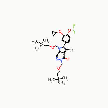 CCc1c(-c2ccc(OC(F)F)c(OC3CC3)c2)n(COCC[Si](C)(C)C)c2cnn(COCC[Si](C)(C)C)c(=O)c12